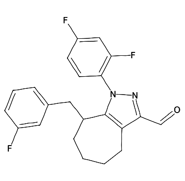 O=Cc1nn(-c2ccc(F)cc2F)c2c1CCCCC2Cc1cccc(F)c1